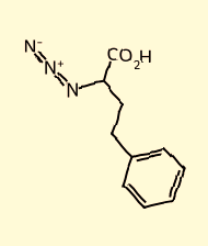 [N-]=[N+]=NC(CCc1ccccc1)C(=O)O